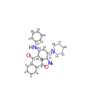 O=C1c2ccccc2-c2onc3c(N4CCCCC4)cc(Nc4ccccc4)c1c23